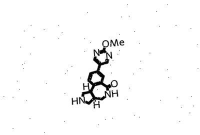 COc1ncc(-c2ccc3c(c2)C(=O)NC[C@H]2CNC[C@H]32)cn1